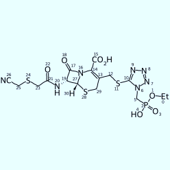 CCOP(=O)(O)Cn1nnnc1SCC1=C(C(=O)O)N2C(=O)[C@@H](NC(=O)CSCC#N)[C@H]2SC1